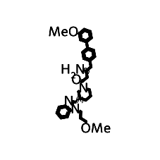 COCCCn1c([C@@H]2CCCN(C(=O)C[C@H](N)Cc3ccc(-c4cccc(OC)c4)cc3)C2)nc2ccccc21